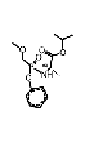 COCP(=O)(N[C@@H](C)C(=O)OC(C)C)Oc1ccccc1